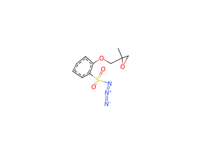 CC1(COc2ccccc2S(=O)(=O)N=[N+]=[N-])CO1